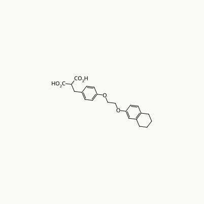 O=C(O)C(Cc1ccc(OCCOc2ccc3c(c2)CCCC3)cc1)C(=O)O